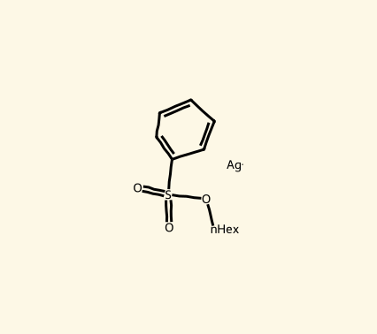 CCCCCCOS(=O)(=O)c1ccccc1.[Ag]